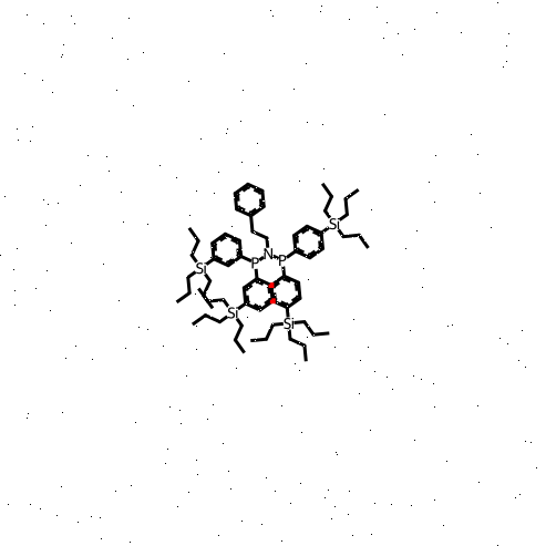 CCC[Si](CCC)(CCC)c1ccc(P(c2ccc([Si](CCC)(CCC)CCC)cc2)N(CCc2ccccc2)P(c2cccc([Si](CCC)(CCC)CCC)c2)c2cccc([Si](CCC)(CCC)CCC)c2)cc1